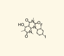 Cc1c(O)c2c(=O)n(C)c(=O)n(-c3ccc(I)cc3F)c2n(C)c1=O